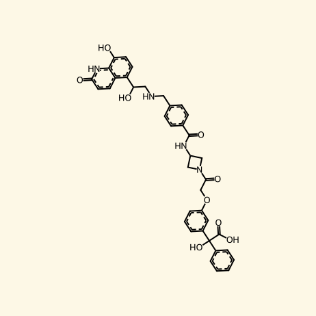 O=C(NC1CN(C(=O)COc2cccc(C(O)(C(=O)O)c3ccccc3)c2)C1)c1ccc(CNCC(O)c2ccc(O)c3[nH]c(=O)ccc23)cc1